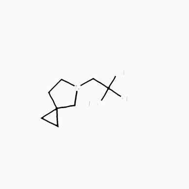 CC(C)(C)CN1CCC2(CC2)C1